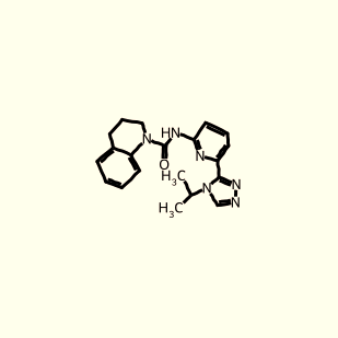 CC(C)n1cnnc1-c1cccc(NC(=O)N2CCCc3ccccc32)n1